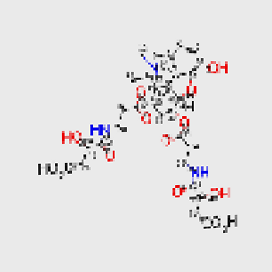 Cc1ccc(O)c2c1[C@]13CCN(C)[C@H](C)[C@]1(OC(=O)CCNC(=O)[C@@H](O)CC(=O)O)CC=C(OC(=O)CCNC(=O)[C@@H](O)CC(=O)O)[C@@H]3O2